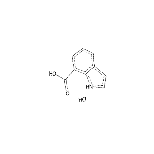 Cl.O=C(O)c1cccc2cc[nH]c12